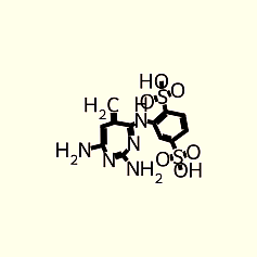 C=C1C=C(N)N=C(N)N=C1Nc1cc(S(=O)(=O)O)ccc1S(=O)(=O)O